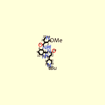 COc1cc(C(=O)Nc2cccc3nn4c(C5CCN(C(C)(C)C)CC5)cc(=O)[nH]c4c23)ccn1